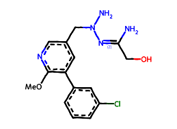 COc1ncc(CN(N)/N=C(\N)CO)cc1-c1cccc(Cl)c1